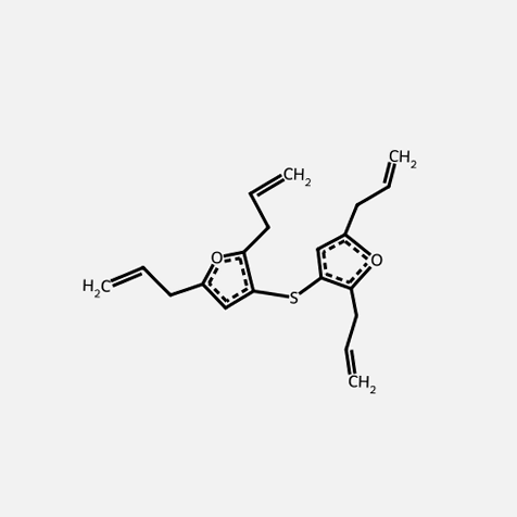 C=CCc1cc(Sc2cc(CC=C)oc2CC=C)c(CC=C)o1